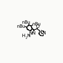 CCCCc1cc2c(c(C(=O)N3CCN4CCC3CC4)nn2N)c(CCCC)c1CCCC